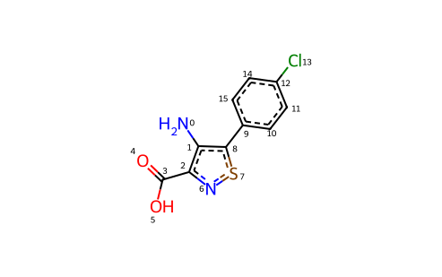 Nc1c(C(=O)O)nsc1-c1ccc(Cl)cc1